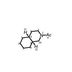 CC(=O)N1CC[C@H]2CCCC[C@H]2C1